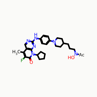 CC(=O)N(O)CCCC1CCN(c2ccc(Nc3ncc4c(C)c(F)c(=O)n(C5CCCC5)c4n3)cc2)CC1